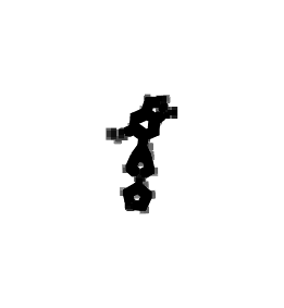 Cc1cc2cn[nH]c2cc1C1C2CN([C@H]3CCOC3)CC21